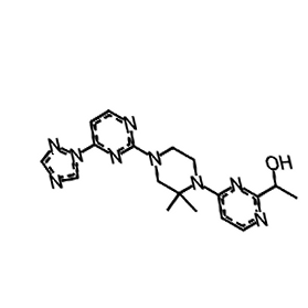 CC(O)c1nccc(N2CCN(c3nccc(-n4cncn4)n3)CC2(C)C)n1